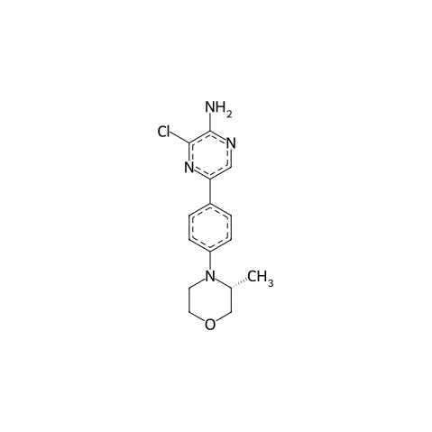 C[C@@H]1COCCN1c1ccc(-c2cnc(N)c(Cl)n2)cc1